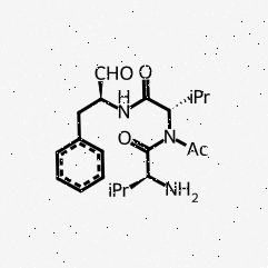 CC(=O)N(C(=O)[C@@H](N)C(C)C)[C@H](C(=O)N[C@H](C=O)Cc1ccccc1)C(C)C